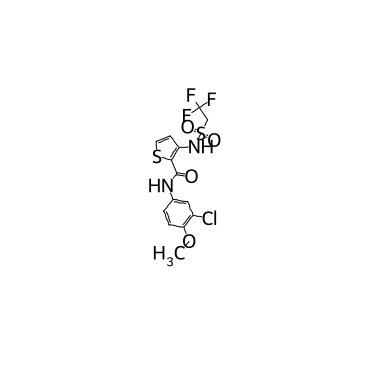 COc1ccc(NC(=O)c2sccc2NS(=O)(=O)CC(F)(F)F)cc1Cl